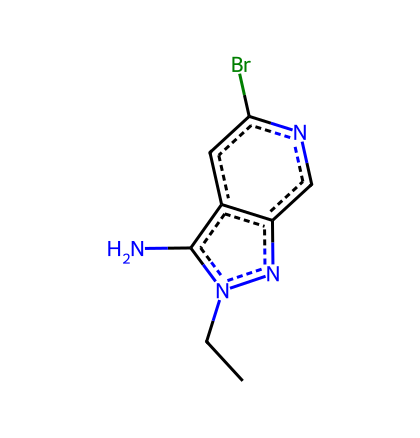 CCn1nc2cnc(Br)cc2c1N